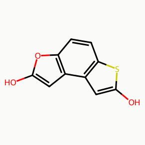 Oc1cc2c(ccc3sc(O)cc32)o1